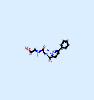 O=C(CNC(=O)c1ccc(-c2ccccc2)[nH]1)NCCO